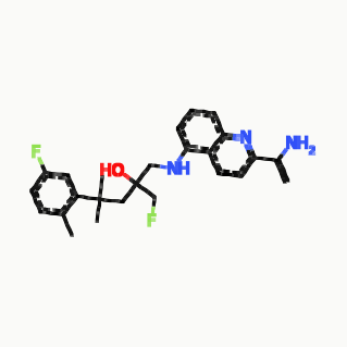 C=C(N)c1ccc2c(NCC(O)(CF)CC(C)(C)c3cc(F)ccc3C)cccc2n1